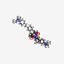 CCN(CC)C1=CCC(/C=C/C2=CC3C(C=C2)C2C4CC(/C=C/c5ccc(N(CC)CC)cc5)C=CC4C3[C@@H]3C(=O)N(c4ccccc4)C(=O)[C@H]23)C=C1